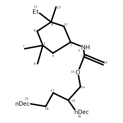 C=C(NC1CC(C)(C)CC(C)(CC)C1)OCC(CCCCCCCCCC)CCCCCCCCCCCC